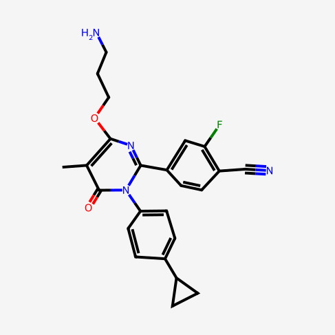 Cc1c(OCCCN)nc(-c2ccc(C#N)c(F)c2)n(-c2ccc(C3CC3)cc2)c1=O